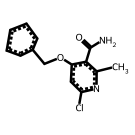 Cc1nc(Cl)cc(OCc2ccccc2)c1C(N)=O